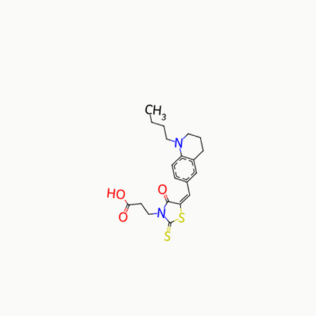 CCCCN1CCCc2cc(C=C3SC(=S)N(CCC(=O)O)C3=O)ccc21